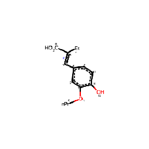 CCCOc1cc(/C=C(\CC)C(=O)O)ccc1O